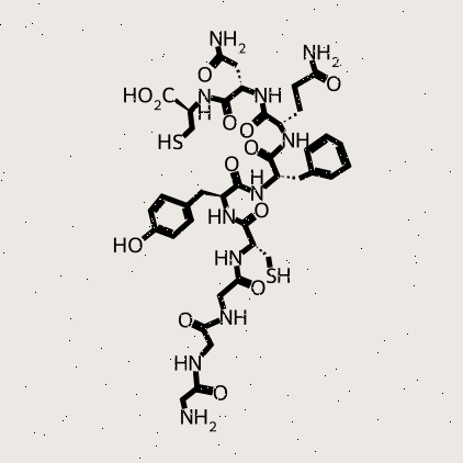 NCC(=O)NCC(=O)NCC(=O)N[C@@H](CS)C(=O)N[C@@H](Cc1ccc(O)cc1)C(=O)N[C@@H](Cc1ccccc1)C(=O)N[C@@H](CCC(N)=O)C(=O)N[C@@H](CC(N)=O)C(=O)N[C@@H](CS)C(=O)O